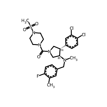 Cc1cc(CN(C)[C@H]2CN(C(=O)N3CCN(S(C)(=O)=O)CC3)C[C@@H]2c2ccc(Cl)c(Cl)c2)ccc1F